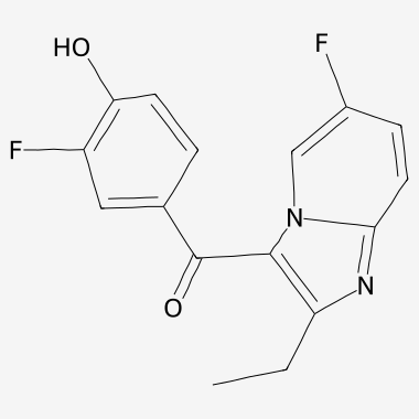 CCc1nc2ccc(F)cn2c1C(=O)c1ccc(O)c(F)c1